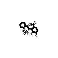 CN1C(c2cc(Cl)ccc2C=O)=C(O)c2ccccc2S1(=O)=O